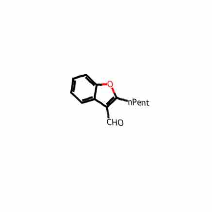 CCCCCc1oc2ccccc2c1C=O